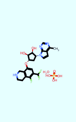 Cc1ncnc2c1ccn2[C@@H]1C[C@H](Oc2cc(C(F)F)c(F)c3c2CNCC3)[C@@H](O)[C@H]1O.O.O=P(O)(O)O